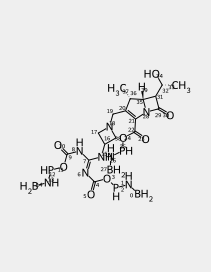 BNPOC(=O)/N=C(/NC(=O)OPNB)NC1CN(CC2=C(C(=O)OPNB)N3C(=O)C([C@@H](C)O)[C@H]3[C@H]2C)C1